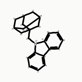 c1ccc2c(c1)c1ccccc1n2CC12CC3CC(CC(C3)C1)C2